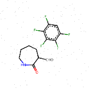 Fc1cc(F)c(F)c(F)c1F.O=CC1CCCCNC1=O